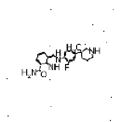 CC1(c2ccc(N/C=C3/C=CC=C(C(N)=O)C3=N)c(F)c2)CCCNC1